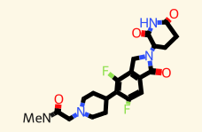 CNC(=O)CN1CCC(c2c(F)cc3c(c2F)CN(C2CCC(=O)NC2=O)C3=O)CC1